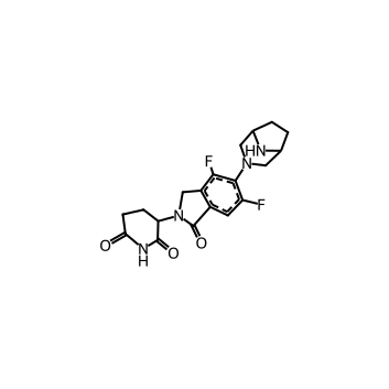 O=C1CCC(N2Cc3c(cc(F)c(N4CC5CCC(C4)N5)c3F)C2=O)C(=O)N1